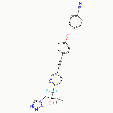 CC(C)(C)C(O)(Cn1cnnn1)C(F)(F)c1ccc(C#Cc2ccc(OCc3ccc(C#N)cc3)cc2)cn1